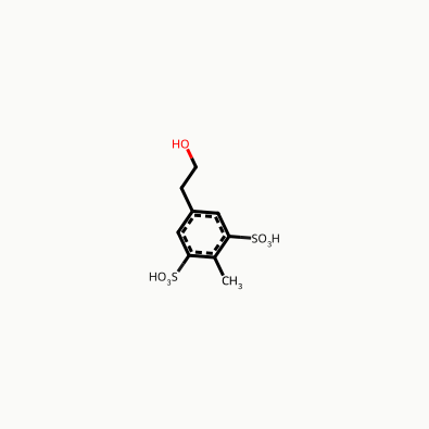 Cc1c(S(=O)(=O)O)cc(CCO)cc1S(=O)(=O)O